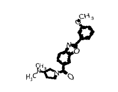 COc1cccc(-c2nc3ccc(C(=O)N4CCC(N(C)C)C4)cc3o2)c1